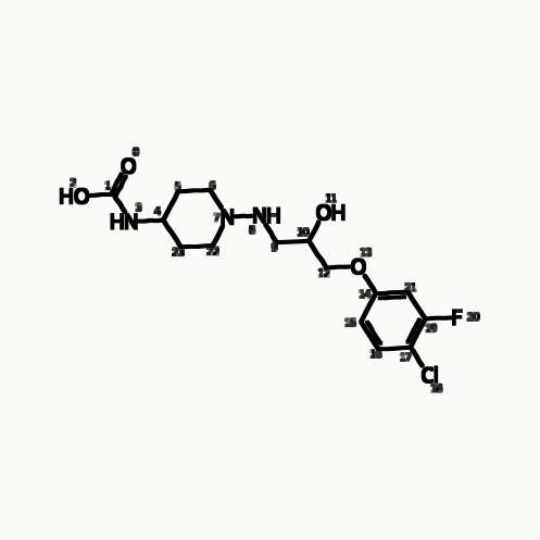 O=C(O)NC1CCN(NCC(O)COc2ccc(Cl)c(F)c2)CC1